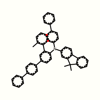 Cc1ccccc1-c1cc(-c2ccc(-c3ccccc3)cc2)ccc1N(c1ccc(-c2ccccc2)cc1)c1ccc2c(c1)C(C)(C)c1ccccc1-2